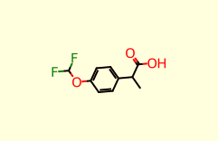 CC(C(=O)O)c1ccc(OC(F)F)cc1